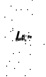 [AlH3].[CH3][PbH].[Fe]